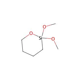 CO[Si]1(OC)CCCCO1